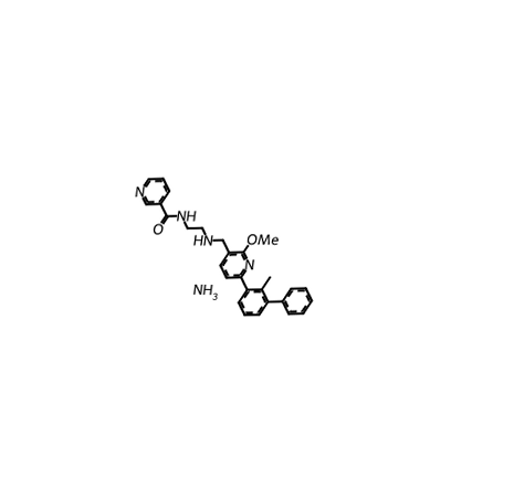 COc1nc(-c2cccc(-c3ccccc3)c2C)ccc1CNCCNC(=O)c1cccnc1.N